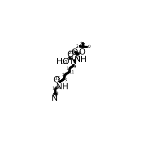 CC(C)(C)OC(=O)NN(CCCCCC(=O)NCC#N)C(=O)O